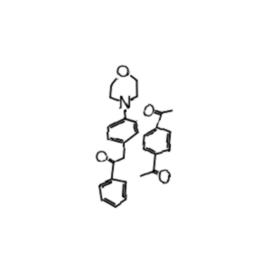 CC(=O)c1ccc(C(C)=O)cc1.O=C(Cc1ccc(N2CCOCC2)cc1)c1ccccc1